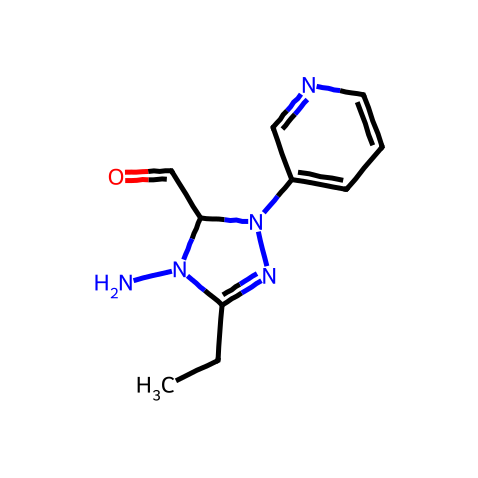 CCC1=NN(c2cccnc2)C(C=O)N1N